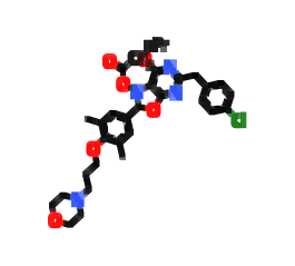 CCCOc1nc(Cc2ccc(Cl)cc2)nc2c1N(OC(=O)C(F)(F)F)C(c1cc(C)c(OCCCN3CCOCC3)c(C)c1)O2